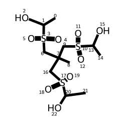 CC(O)S(=O)(=O)CC(C)(CS(=O)(=O)C(C)O)CS(=O)(=O)C(C)O